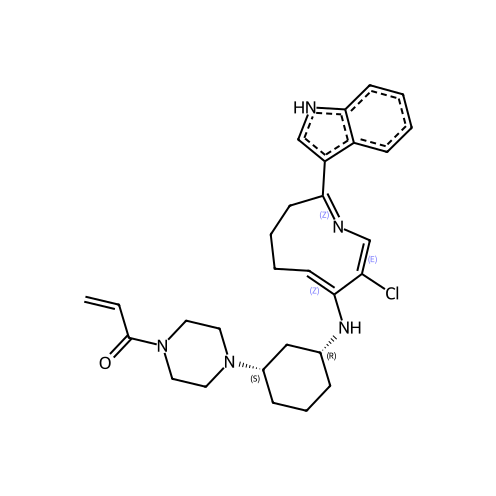 C=CC(=O)N1CCN([C@H]2CCC[C@@H](NC3=C\CCC/C(c4c[nH]c5ccccc45)=N/C=C\3Cl)C2)CC1